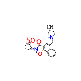 N#CC1CCN(Cc2cc3c(c4ccccc24)OCN([C@H]2CCC[C@@H]2O)C3=O)CC1